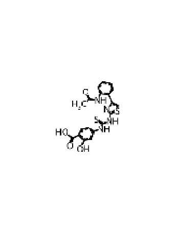 CC(=O)Nc1ccccc1-c1csc(NC(=S)Nc2ccc(C(=O)O)c(O)c2)n1